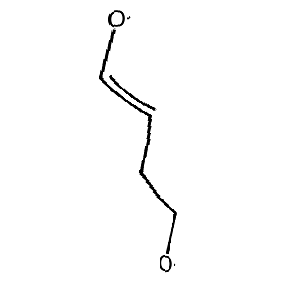 [O]C=CCC[O]